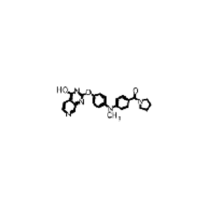 CN(c1ccc(Oc2nc(O)c3ccncc3n2)cc1)c1ccc(C(=O)N2CCCC2)cc1